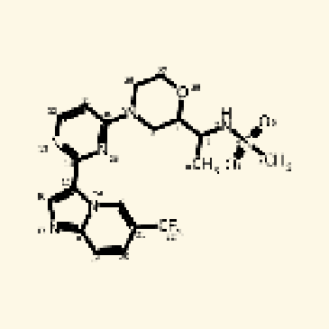 CC(NS(C)(=O)=O)C1CN(c2ccnc(-c3cnc4ccc(C(F)(F)F)cn34)n2)CCO1